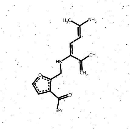 C=C(C)/C(BCc1occc1C(=O)CCC)=C\C=C(/C)N